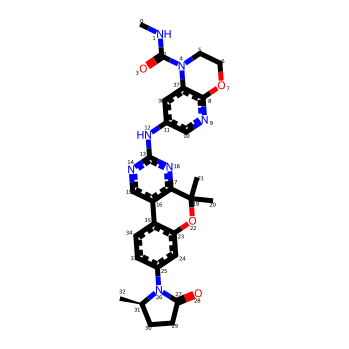 CNC(=O)N1CCOc2ncc(Nc3ncc4c(n3)C(C)(C)Oc3cc(N5C(=O)CC[C@H]5C)ccc3-4)cc21